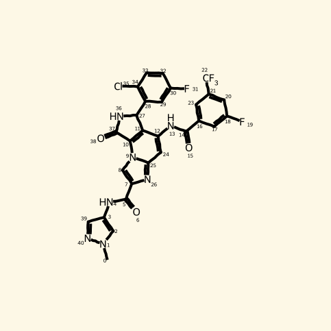 Cn1cc(NC(=O)c2cn3c4c(c(NC(=O)c5cc(F)cc(C(F)(F)F)c5)cc3n2)C(c2cc(F)ccc2Cl)NC4=O)cn1